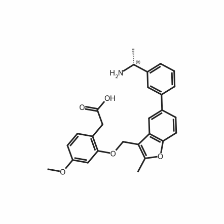 COc1ccc(CC(=O)O)c(OCc2c(C)oc3ccc(-c4cccc([C@@H](C)N)c4)cc23)c1